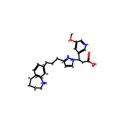 COc1cncc(C(CC(=O)O)n2ccc(CCCc3ccc4c(c3)NCCCC4)n2)c1